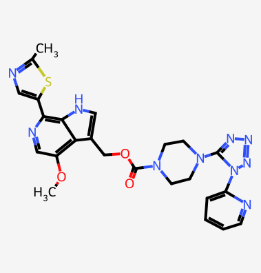 COc1cnc(-c2cnc(C)s2)c2[nH]cc(COC(=O)N3CCN(c4nnnn4-c4ccccn4)CC3)c12